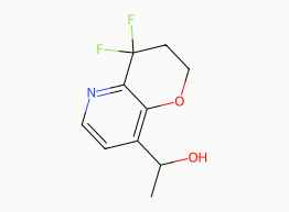 CC(O)c1ccnc2c1OCCC2(F)F